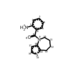 Nc1ccccc1C(=O)N1CCCCc2sccc21